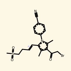 Cc1c(C(=O)CBr)c(C)n(-c2ccc(C#N)cc2)c1/C=C/CCS(C)(=O)=O